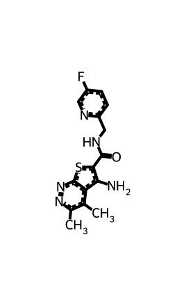 Cc1nnc2sc(C(=O)NCc3ccc(F)cn3)c(N)c2c1C